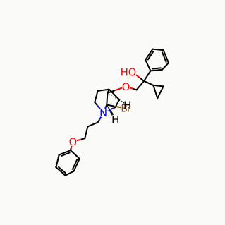 OC(CO[C@@H]1C2CC[N+](CCCOc3ccccc3)(CC2)[C@H]1Br)(c1ccccc1)C1CC1